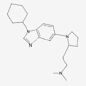 CN(C)CCC1CCCN1c1ccc2c(c1)ncn2C1CCCCC1